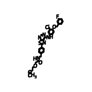 COCCOCC(=O)NCc1ccc(-c2nc3c(Nc4ccc(OCc5cccc(F)c5)c(Cl)c4)ncnc3s2)cc1